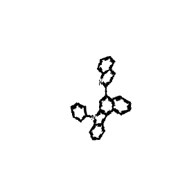 c1ccc(-n2c3ccccc3c3c4ccccc4c(-c4ccc5ccccc5n4)cc32)cc1